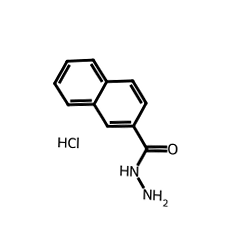 Cl.NNC(=O)c1ccc2ccccc2c1